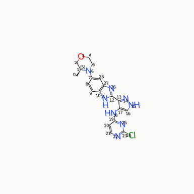 C[C@H]1COCCN1c1ccc2[nH]c(-c3n[nH]cc3Nc3ccnc(Cl)n3)nc2c1